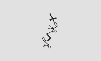 CC(C)(C)OC(=O)NCCS(C)(=O)=O